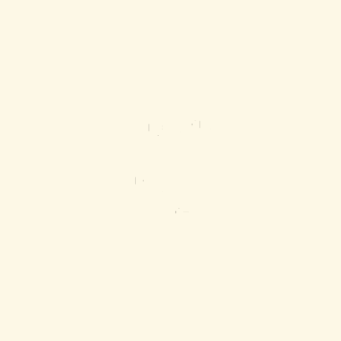 [CH2]C=C(C)CC=CC(=C)C